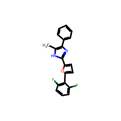 Cc1[nH]c(-c2ccc(-c3c(F)cccc3F)o2)nc1-c1ccccc1